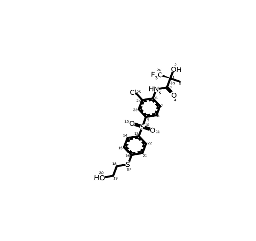 C[C@@](O)(C(=O)Nc1ccc(S(=O)(=O)c2ccc(SCCO)cc2)cc1Cl)C(F)(F)F